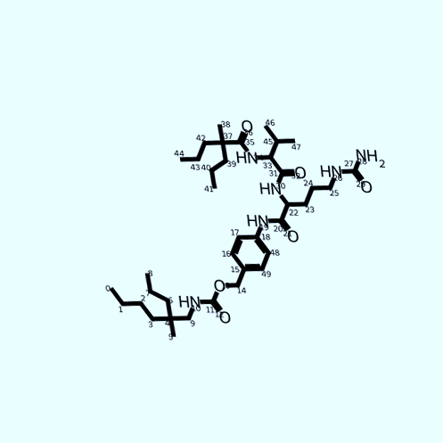 CCCCC(C)(CCC)CNC(=O)OCc1ccc(NC(=O)C(CCCNC(N)=O)NC(=O)C(NC(=O)C(C)(CCC)CCC)C(C)C)cc1